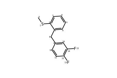 CSc1ccccc1[CH]c1ccc(F)c(F)c1